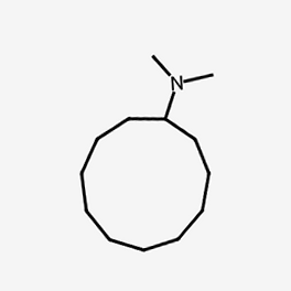 CN(C)C1CCCCCCCCCC1